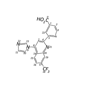 O=C(O)c1cccc(-c2cc(-n3ccnc3)c3ccc(C(F)(F)F)cc3n2)c1